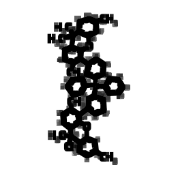 Cc1ccc2c(c1)Oc1c(ccc(C)c1-c1cccc([Si](c3ccccc3)(c3ccccc3)c3cccc(-c4c(C)ccc5c4Oc4cc(C)ccc4C5(C)C)c3)c1)C2(C)C